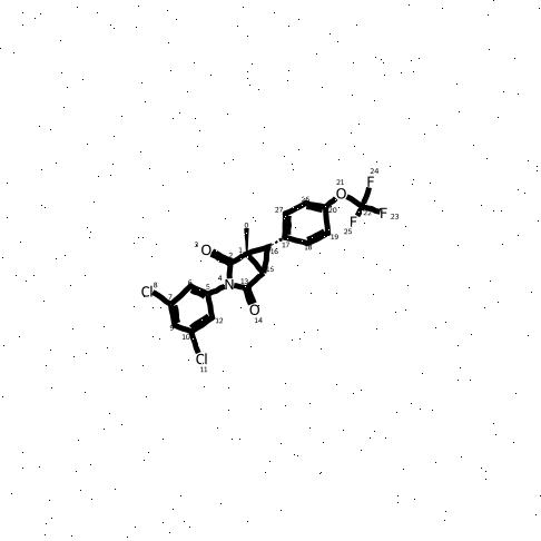 C[C@]12C(=O)N(c3cc(Cl)cc(Cl)c3)C(=O)C1[C@H]2c1ccc(OC(F)(F)F)cc1